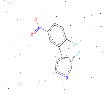 O=[N+]([O-])c1ccc(F)c(-c2ccncc2F)c1